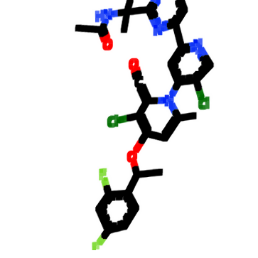 CC(=O)NC(C)(C)c1nccc(-c2cc(N3C(=C=O)C(Cl)=C(OC(C)c4ccc(F)cc4F)C=C3C)c(Cl)cn2)n1